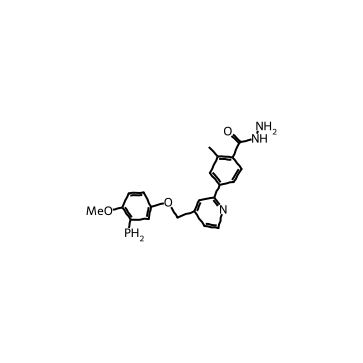 COc1ccc(OCc2ccnc(-c3ccc(C(=O)NN)c(C)c3)c2)cc1P